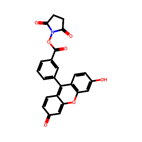 O=C(ON1C(=O)CCC1=O)c1cccc(-c2c3ccc(=O)cc-3oc3cc(O)ccc23)c1